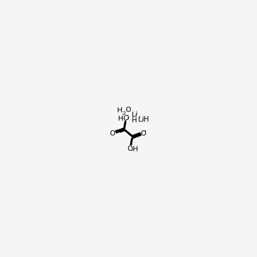 O.O=C(O)C(=O)O.[LiH].[LiH]